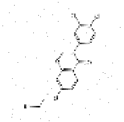 O=c1c(-c2ccc(Cl)c(Cl)c2)coc2cc(OCCBr)ccc12